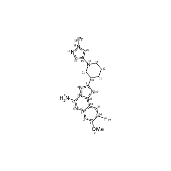 COc1cc2nc(N)n3nc(C4CCCN(c5cnn(C(C)C)c5)C4)nc3c2cc1F